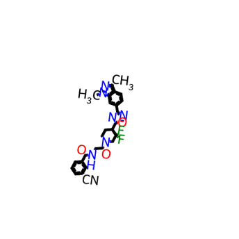 Cc1nn(C)c2cc(-c3noc(C4CCN(C(=O)CNC(=O)c5cccc(C#N)c5)CC4(F)F)n3)ccc12